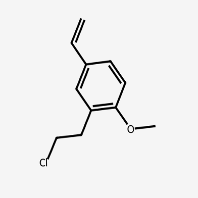 C=Cc1ccc(OC)c(CCCl)c1